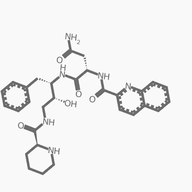 NC(=O)C[C@H](NC(=O)c1ccc2ccccc2n1)C(=O)N[C@@H](Cc1ccccc1)[C@H](O)CNC(=O)[C@@H]1CCCCN1